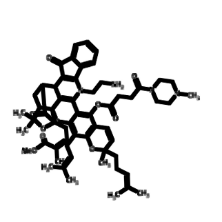 COC(=O)/C(C)=C\CC12OC(C)(C)C3CC(C1=O)C1C4=C(c5ccccc5C4=O)N(CCN)C4=C1C32Oc1c(CC=C(C)C)c2c(c(OC(=O)CCC(=O)N3CCN(C)CC3)c14)C=CC(C)(CCC=C(C)C)O2